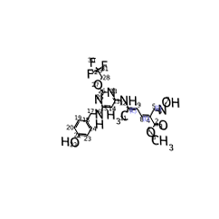 COC(=O)C(/C=N/O)=C/C=C(\C)Nc1cc(NCc2ccc(O)cc2)nc(OCC(F)(F)F)n1